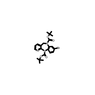 CC(C)(C)OC(=O)N1Cc2cccnc2N(C(=O)OC(C)(C)C)c2ccc(Br)cc21